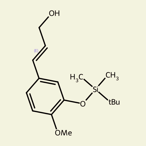 COc1ccc(/C=C/CO)cc1O[Si](C)(C)C(C)(C)C